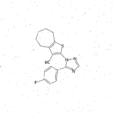 N#Cc1c(-n2ncnc2-c2ccc(F)cc2)sc2c1CCCCC2